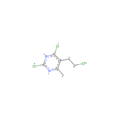 Cc1nc(Cl)nc(Cl)c1CCCl